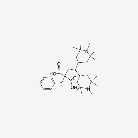 CN1C(C)(C)CC(C(CC(Cc2ccccc2)(C(=O)O)C(=O)O)C2CC(C)(C)N(C)C(C)(C)C2)CC1(C)C